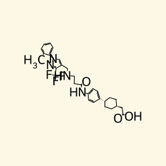 Cc1ccccc1-n1cc(CNCCC(=O)Nc2ccc([C@H]3CC[C@H](CC(=O)O)CC3)cc2)c(C(F)(F)F)n1